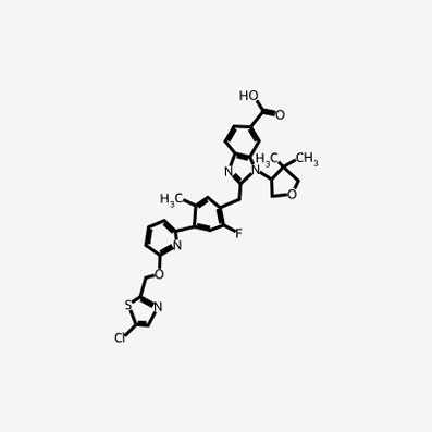 Cc1cc(Cc2nc3ccc(C(=O)O)cc3n2C2COCC2(C)C)c(F)cc1-c1cccc(OCc2ncc(Cl)s2)n1